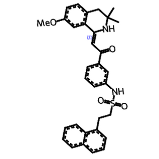 COc1ccc2c(c1)/C(=C/C(=O)c1cccc(NS(=O)(=O)CCc3cccc4ccccc34)c1)NC(C)(C)C2